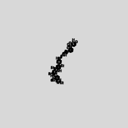 CCOc1cc(N2CCC(NCCNCC3CN(c4cccc5c4oc(=O)n5C4CCC(=O)NC4=O)C3)CC2)c(CC)cc1Nc1ncc(Br)c(Nc2ccc3nc(CC)ncc3c2P(C)(C)=O)n1